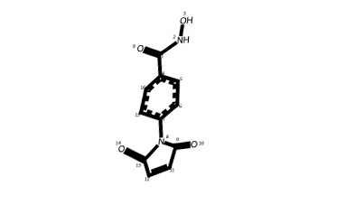 O=C(NO)c1ccc(N2C(=O)C=CC2=O)cc1